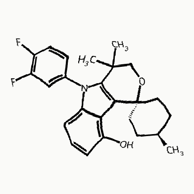 CC1(C)CO[C@]2(CC[C@H](C)CC2)c2c1n(-c1ccc(F)c(F)c1)c1cccc(O)c12